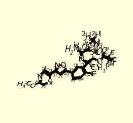 [2H]C([2H])([2H])N=[S@]1(=O)C(OC(=O)C(F)(F)F)[C@@](C)(c2cc(-c3cc(-c4cnc(OC)cn4)no3)ccc2F)N=C(N)C1(C)C